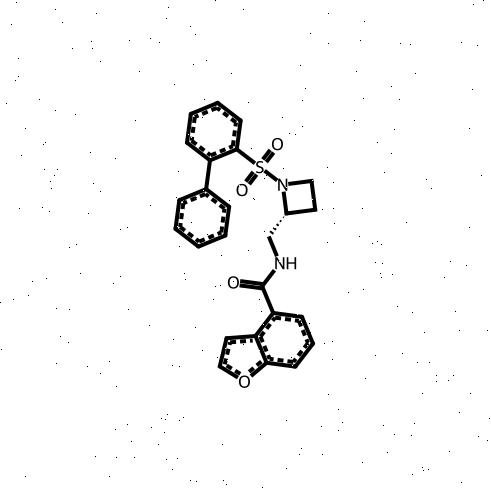 O=C(NC[C@H]1CCN1S(=O)(=O)c1ccccc1-c1ccccc1)c1cccc2occc12